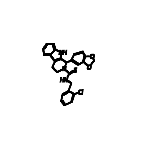 S=C(NCc1ccccc1Cl)N1CCc2c([nH]c3ccccc23)[C@H]1c1ccc2c(c1)OCO2